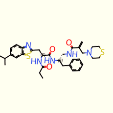 C=C(CN1CCSCC1)C(=O)NC[C@H](Cc1ccccc1)NC(=O)[C@H](Cc1nc2ccc(C(C)C)cc2s1)NC(=O)CC